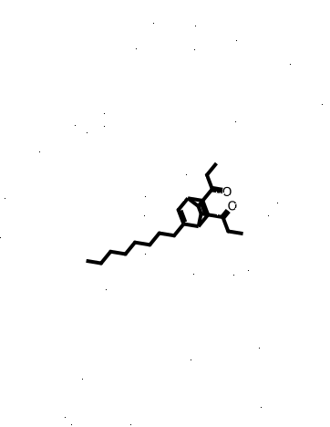 CCCCCCCCC1=CC2C=CC1C(C(=O)CC)C2C(=O)CC